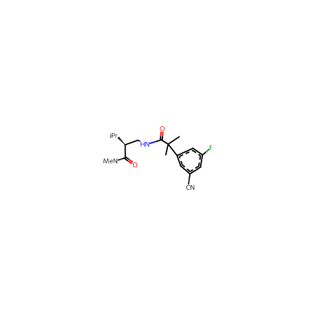 CNC(=O)[C@H](CNC(=O)C(C)(C)c1cc(F)cc(C#N)c1)C(C)C